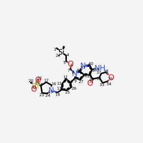 C[Si](C)(C)CCOCn1c(-c2ccc(CN3CCC(S(C)(=O)=O)CC3)cc2)cc2c(C(=O)C3CCOCC3)c(N)cnc21